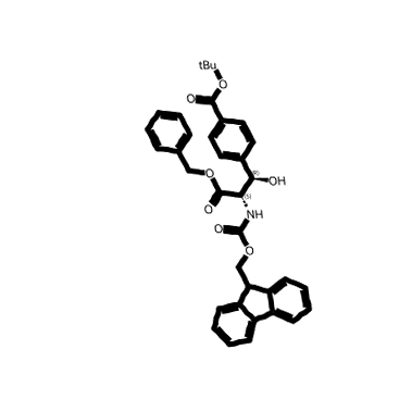 CC(C)(C)OC(=O)c1ccc([C@@H](O)[C@H](NC(=O)OCC2c3ccccc3-c3ccccc32)C(=O)OCc2ccccc2)cc1